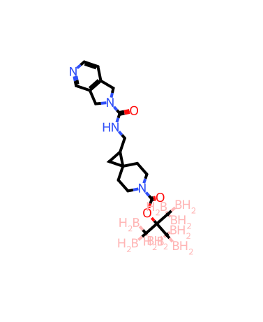 BC(B)(B)C(OC(=O)N1CCC2(CC1)CC2CNC(=O)N1Cc2ccncc2C1)(C(B)(B)B)C(B)(B)B